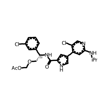 CC(=O)OCOC[C@@H](NC(=O)c1cc(-c2cc(NC(C)C)ncc2Cl)c[nH]1)c1cccc(Cl)c1